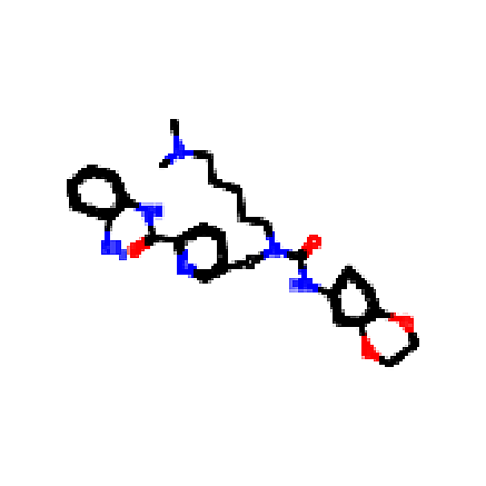 CN(C)CCCCCN(Cc1ccc(C(=O)Nc2ccccc2N)nc1)C(=O)Nc1ccc2c(c1)OCCO2